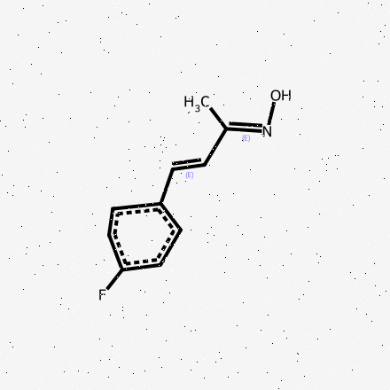 CC(/C=C/c1ccc(F)cc1)=N\O